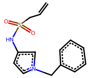 C=CCS(=O)(=O)Nc1ccn(Cc2ccccc2)c1